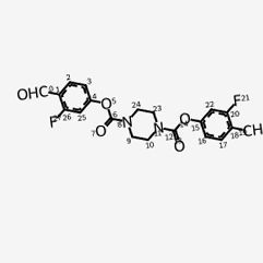 O=Cc1ccc(OC(=O)N2CCN(C(=O)Oc3ccc(C=O)c(F)c3)CC2)cc1F